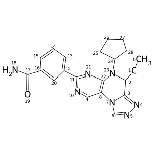 CCC1c2nncn2-c2cnc(-c3cccc(C(N)=O)c3)nc2N1C1CCCC1